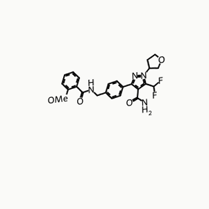 COc1ccccc1C(=O)NCc1ccc(-c2nn(C3CCOC3)c(C(F)F)c2C(N)=O)cc1